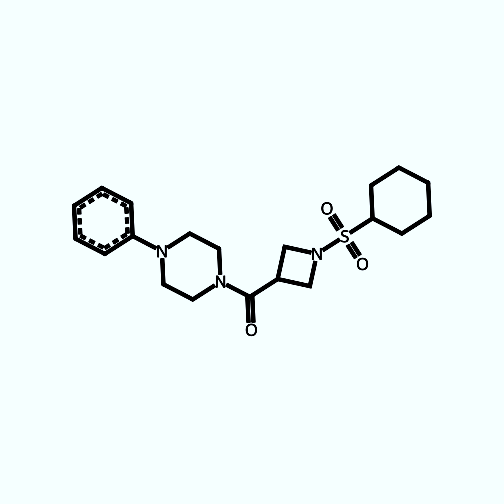 O=C(C1CN(S(=O)(=O)C2CCCCC2)C1)N1CCN(c2ccccc2)CC1